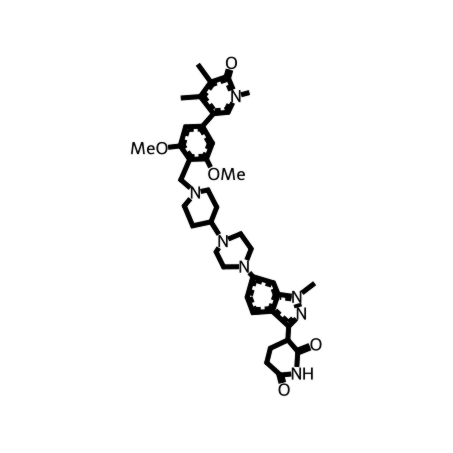 COc1cc(-c2cn(C)c(=O)c(C)c2C)cc(OC)c1CN1CCC(N2CCN(c3ccc4c(C5CCC(=O)NC5=O)nn(C)c4c3)CC2)CC1